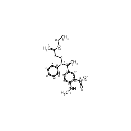 C=C(CCN(C(=C)c1ccc(NC)c([N+](=O)[O-])c1)c1ccccn1)OCC